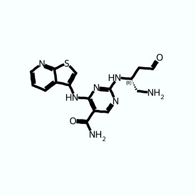 NC[C@@H](CC=O)Nc1ncc(C(N)=O)c(Nc2csc3ncccc23)n1